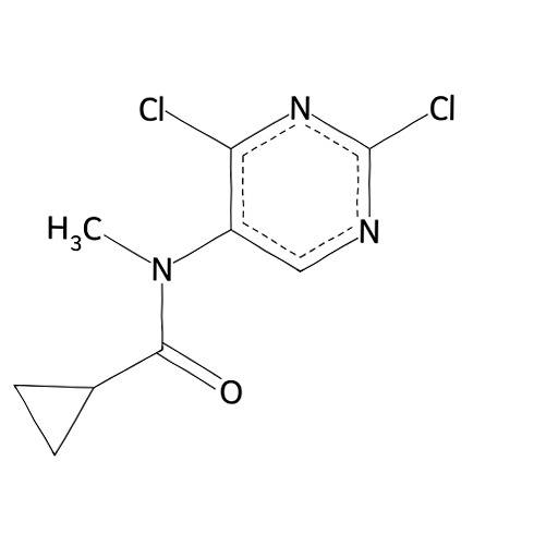 CN(C(=O)C1CC1)c1cnc(Cl)nc1Cl